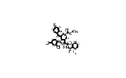 C[C@H](NC(=O)c1nn(-c2ccc(Cl)cc2Cl)c2c1CN(C(=O)OC(C)(C)C)C/C2=C\c1ccc(F)cc1)C1CCCCC1